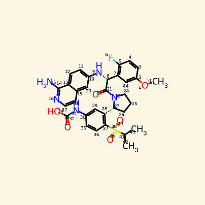 COc1ccc(F)c([C@@H](Nc2ccc3c(N)nccc3c2)C(=O)N2CCC[C@@H]2c2cc(NC(=O)O)ccc2S(=O)(=O)C(C)C)c1